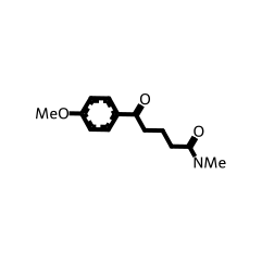 CNC(=O)CCCC(=O)c1ccc(OC)cc1